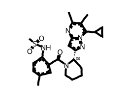 Cc1ccc(NS(C)(=O)=O)c(C(=O)N2CCCC[C@H]2c2cc3nc(C)c(C)c(C4CC4)n3n2)c1